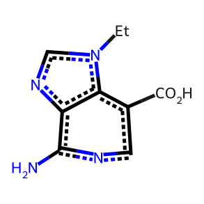 [CH2]Cn1cnc2c(N)ncc(C(=O)O)c21